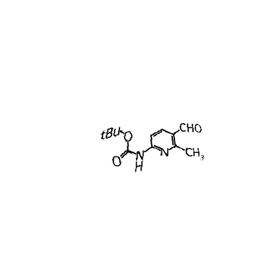 Cc1nc(NC(=O)OC(C)(C)C)ccc1C=O